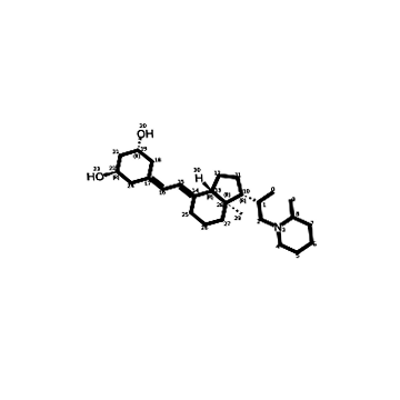 CC(CN1CCCCC1C)[C@H]1CC[C@H]2C(=CC=C3C[C@@H](O)C[C@H](O)C3)CCC[C@]12C